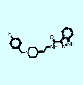 O=C(NCC=C1CCN(Cc2ccc(F)cc2)CC1)c1n[nH]c2ccccc12